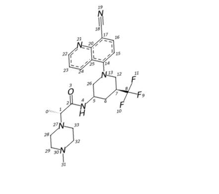 C[C@H](C(=O)NC1C[C@H](C(F)(F)F)CN(c2ccc(C#N)c3ncccc23)C1)N1CCN(C)CC1